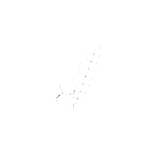 FC(F)=C(F)[Si](Cl)(Cl)C(F)(F)C(F)(F)C(F)(F)C(F)(F)C(F)(F)C(F)(F)C(F)(F)C(F)(F)F